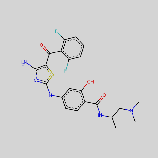 CC(CN(C)C)NC(=O)c1ccc(Nc2nc(N)c(C(=O)c3c(F)cccc3F)s2)cc1O